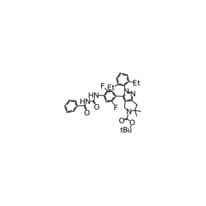 CCc1cccc(CC)c1-n1nc2c(c1-c1cc(F)c(NC(=O)NC(=O)c3ccccc3)cc1F)CN(C(=O)OC(C)(C)C)C(C)(C)C2